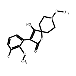 COc1c(Cl)cccc1C1=C(O)C2(CCN(OC)CC2)OC1=O